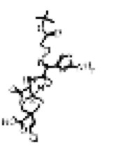 CC(C)(C)OC(=O)CON=C(C(=O)NC1C(=O)N2CC(C=CCl)(C(=O)O)CS[C@H]12)c1csc(N)n1